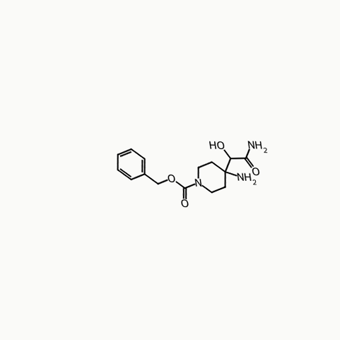 NC(=O)C(O)C1(N)CCN(C(=O)OCc2ccccc2)CC1